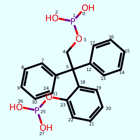 OP(O)OCC(c1ccccc1)(c1ccccc1)c1ccccc1OP(O)O